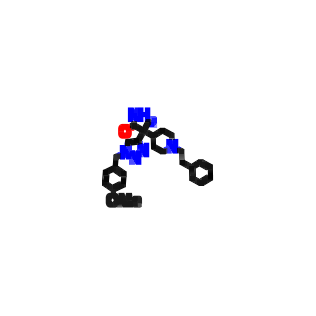 COc1ccc(Cn2cc(C(C)(C(N)=O)C3CCN(CCc4ccccc4)CC3)nn2)cc1